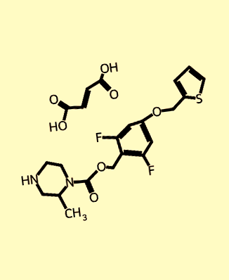 CC1CNCCN1C(=O)OCc1c(F)cc(OCc2cccs2)cc1F.O=C(O)C=CC(=O)O